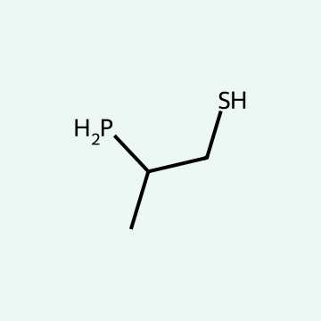 CC(P)CS